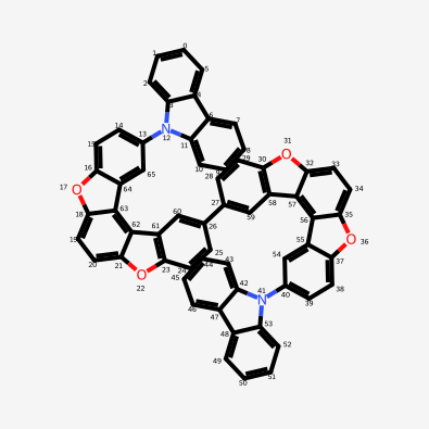 c1ccc2c(c1)c1ccccc1n2-c1ccc2oc3ccc4oc5ccc(-c6ccc7oc8ccc9oc%10ccc(-n%11c%12ccccc%12c%12ccccc%12%11)cc%10c9c8c7c6)cc5c4c3c2c1